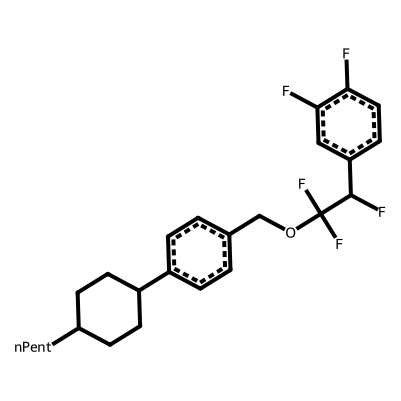 CCCCCC1CCC(c2ccc(COC(F)(F)C(F)c3ccc(F)c(F)c3)cc2)CC1